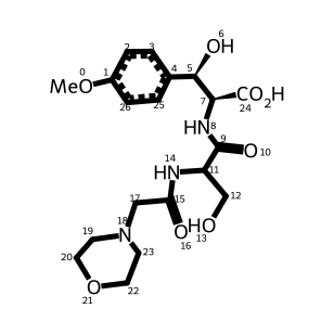 COc1ccc([C@@H](O)[C@H](NC(=O)C(CO)NC(=O)CN2CCOCC2)C(=O)O)cc1